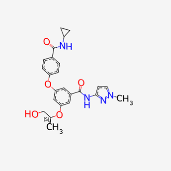 C[C@@H](CO)Oc1cc(Oc2ccc(C(=O)NC3CC3)cc2)cc(C(=O)Nc2ccn(C)n2)c1